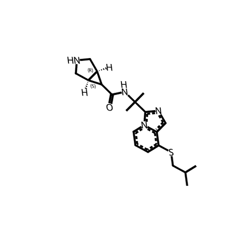 CC(C)CSc1cccn2c(C(C)(C)NC(=O)C3[C@H]4CNC[C@@H]34)ncc12